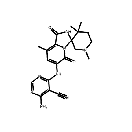 Cc1cc(Nc2ncnc(N)c2C#N)c(=O)n2c1C(=O)NC21CN(C)CCC1(C)C